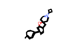 Cc1ccc(-c2ccc3c(c2)OC2(CCN(C4CCC4)CC2)C3)cc1